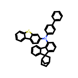 c1ccc(-c2ccc(N(c3ccc4c(c3)sc3ccccc34)c3cccc4c3-c3ccccc3C43CC4CCC3C4)cc2)cc1